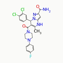 CC1=C(C(=O)N2CCN(c3ccc(F)cc3)CC2)C(c2ccc(Cl)c(Cl)c2)n2nc(C(N)=O)cc2N1